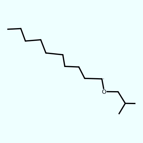 CCCCCCCCC[CH]OCC(C)C